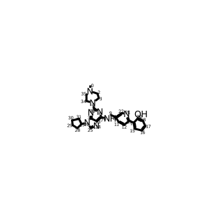 CN1CCN(c2nc(NCc3ccc(-c4ccccc4O)nc3)c3ncn(C4CCCC4)c3n2)CC1